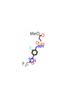 COC(=O)CCS(=O)(=O)NCc1ccc(-c2noc(C(F)(F)F)n2)cc1F